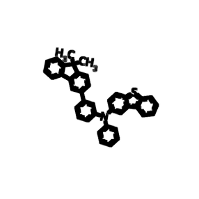 CC1(C)c2ccccc2-c2cc(-c3cccc(N(c4ccccc4)c4ccc5sc6ccccc6c5c4)c3)ccc21